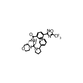 O=C(NC[C@H]1COCCN1C(=O)N1CCCC1c1cccnc1)c1ccc(-c2noc(C(F)(F)F)n2)cc1